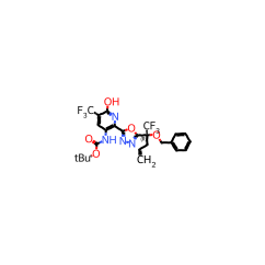 C=CC[C@@](OCc1ccccc1)(c1nnc(-c2nc(O)c(C(F)(F)F)cc2NC(=O)OC(C)(C)C)o1)C(F)(F)F